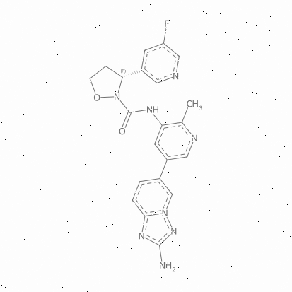 Cc1ncc(-c2ccc3nc(N)nn3c2)cc1NC(=O)N1OCC[C@@H]1c1cncc(F)c1